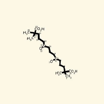 CC(C)(CCC[S+]([O-])CCC[S+]([O-])CCCC(C)(C)C(=O)O)C(=O)O